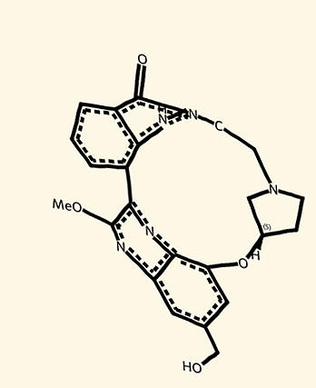 COc1nc2cc(CO)cc3c2nc1-c1cccc2c(=O)n([nH]c12)CCN1CC[C@@H](C1)O3